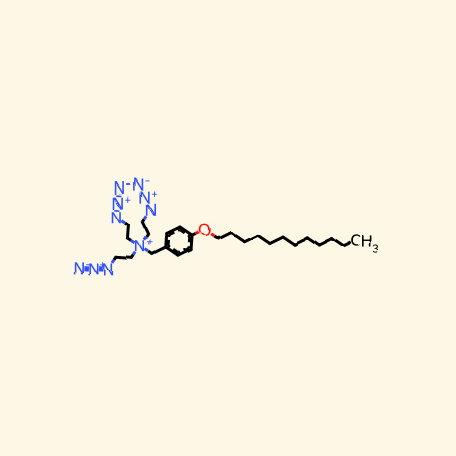 CCCCCCCCCCCCOc1ccc(C[N+](CCN=[N+]=[N-])(CCN=[N+]=[N-])CCN=[N+]=[N-])cc1